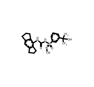 N#CN=S(=O)(NC(=O)Nc1c2c(cc3c1CCC3)CCC2)c1cccc(C(O)(C(F)(F)F)C(F)(F)F)c1